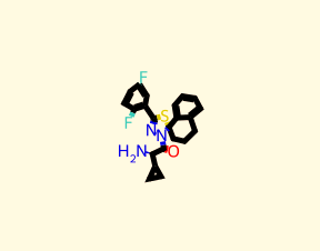 N[C@H](C(=O)N1N=C(c2cc(F)ccc2F)SC12CCCc1ccccc12)C1CC1